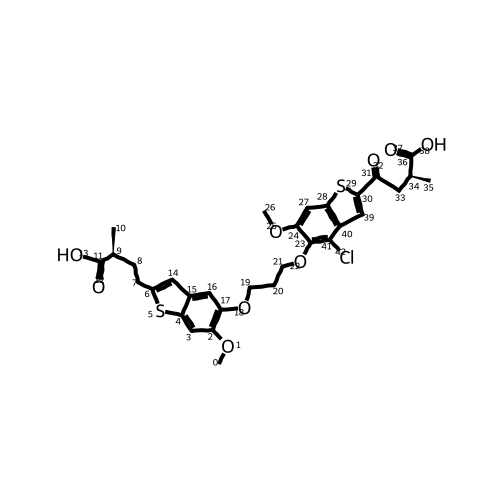 COc1cc2sc(CC[C@H](C)C(=O)O)cc2cc1OCCCOc1c(OC)cc2sc(C(=O)C[C@H](C)C(=O)O)cc2c1Cl